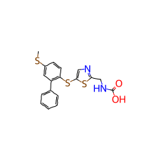 CSc1ccc(Sc2cnc(CNC(=O)O)s2)c(-c2ccccc2)c1